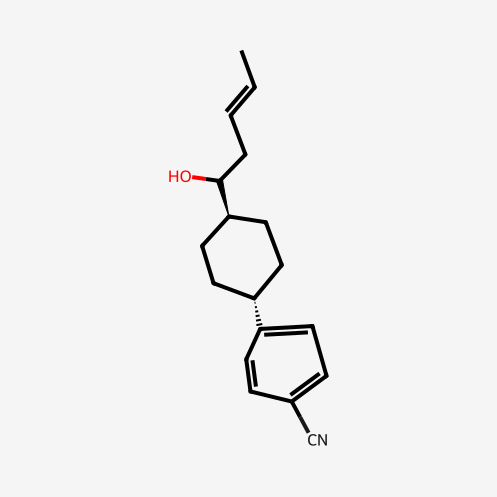 CC=CCC(O)[C@H]1CC[C@H](c2ccc(C#N)cc2)CC1